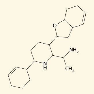 CC(N)C1NC(C2C=CCCC2)CCC1C1CC2C=CCCC2O1